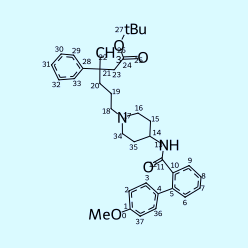 COc1ccc(-c2ccccc2C(=O)NC2CCN(CCCC(C)(CC(=O)OC(C)(C)C)c3ccccc3)CC2)cc1